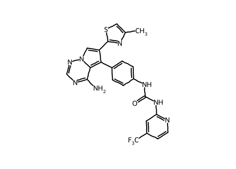 Cc1csc(-c2cn3ncnc(N)c3c2-c2ccc(NC(=O)Nc3cc(C(F)(F)F)ccn3)cc2)n1